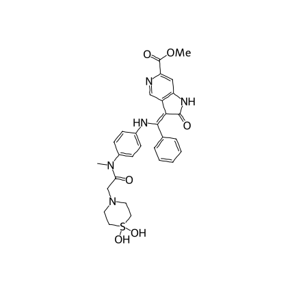 COC(=O)c1cc2c(cn1)C(=C(Nc1ccc(N(C)C(=O)CN3CCS(O)(O)CC3)cc1)c1ccccc1)C(=O)N2